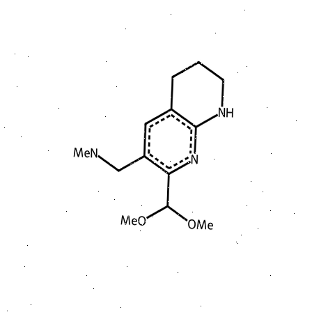 CNCc1cc2c(nc1C(OC)OC)NCCC2